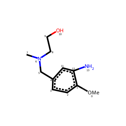 COc1ccc(CN(C)CCO)cc1N